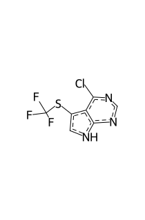 FC(F)(F)Sc1c[nH]c2ncnc(Cl)c12